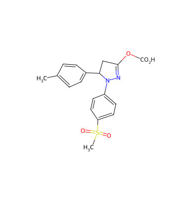 Cc1ccc(C2CC(OC(=O)O)=NN2c2ccc(S(C)(=O)=O)cc2)cc1